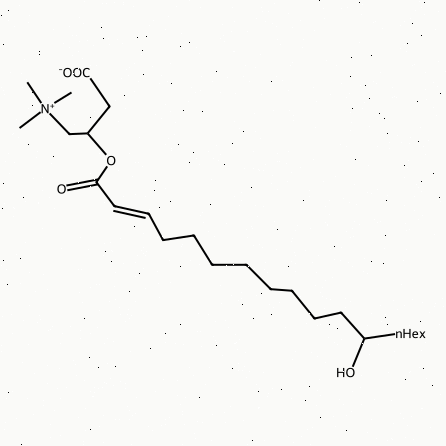 CCCCCCC(O)CCCCCCCCC=CC(=O)OC(CC(=O)[O-])C[N+](C)(C)C